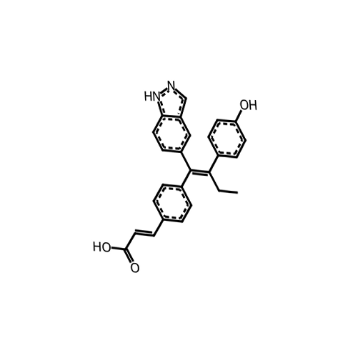 CCC(=C(c1ccc(C=CC(=O)O)cc1)c1ccc2[nH]ncc2c1)c1ccc(O)cc1